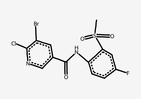 CS(=O)(=O)c1cc(F)ccc1NC(=O)c1cnc(Cl)c(Br)c1